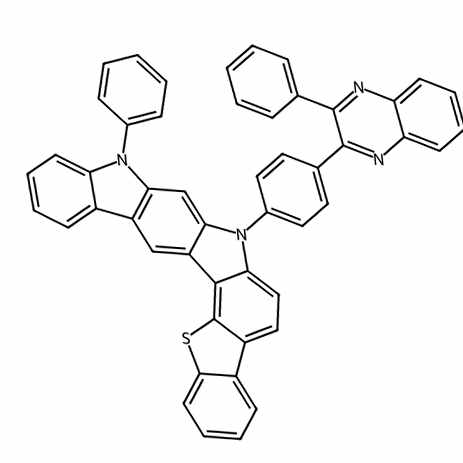 c1ccc(-c2nc3ccccc3nc2-c2ccc(-n3c4cc5c(cc4c4c6sc7ccccc7c6ccc43)c3ccccc3n5-c3ccccc3)cc2)cc1